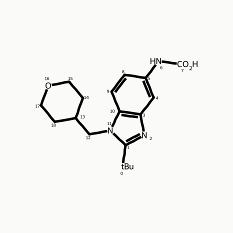 CC(C)(C)c1nc2cc(NC(=O)O)ccc2n1CC1CCOCC1